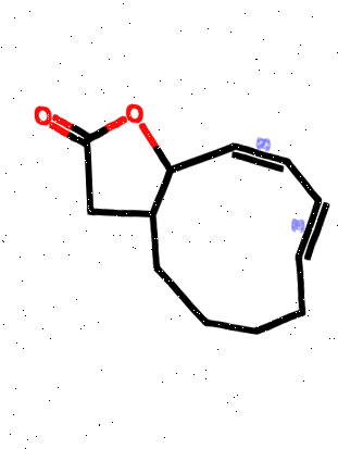 O=C1CC2CCCC/C=C/C=C\C2O1